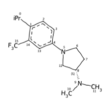 CC(C)c1ccc(N2CC[C@H](N(C)C)C2)cc1C(F)(F)F